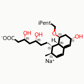 CCCC(C)CO[C@H]1C[C@H](O)C=C2C=C[C@@H](C)[C@H](CC[C@@H](O)C[C@@H](O)CC(=O)[O-])[C@H]21.[Na+]